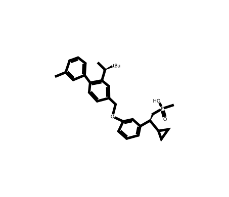 Cc1cccc(-c2ccc(COc3cccc([C@@H](CP(C)(=O)O)C4CC4)c3)cc2[C@@H](C)C(C)(C)C)c1